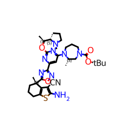 C[C@H](Oc1nc(-c2noc([C@@]3(C)CCCc4sc(N)c(C#N)c43)n2)cc(N2CCCN(C(=O)OC(C)(C)C)C[C@@H]2C)n1)[C@@H]1CCCN1C